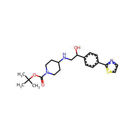 CC(C)(C)OC(=O)N1CCC(NCC(O)c2ccc(-c3nccs3)cc2)CC1